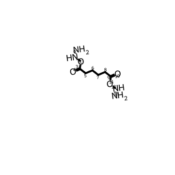 NNOC(=O)CCCCC(=O)ONN